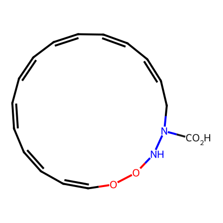 O=C(O)N1C\C=C/C=C\C=C/C=C\C=C/C=C\C=C/OON1